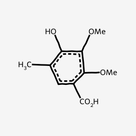 COc1c(C(=O)O)cc(C)c(O)c1OC